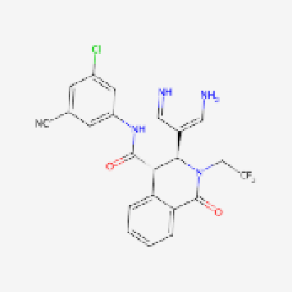 N#Cc1cc(Cl)cc(NC(=O)[C@H]2c3ccccc3C(=O)N(CC(F)(F)F)[C@@H]2/C(C=N)=C/N)c1